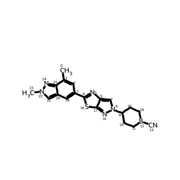 Cc1cc(-c2nc3cn(C4CCB(C#N)CC4)nc3s2)cc2cn(C)nc12